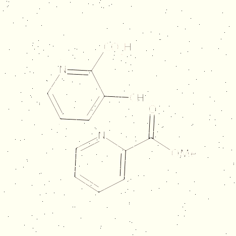 COC(=O)c1ccccn1.Cc1cccnc1C(=O)O